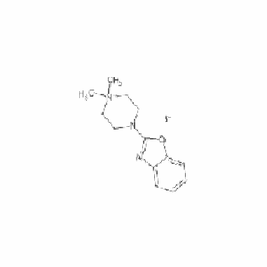 C[N+]1(C)CCN(c2nc3ccccc3o2)CC1.[I-]